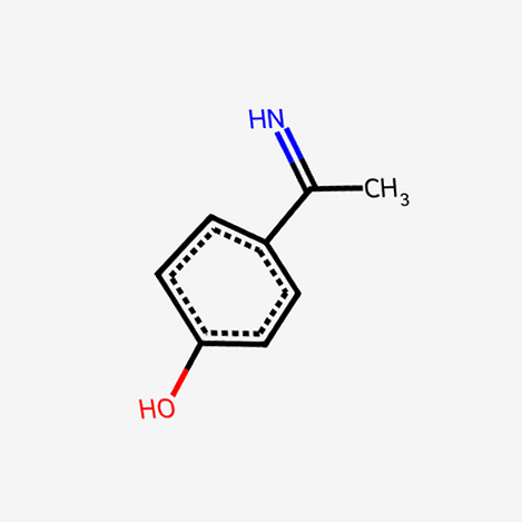 CC(=N)c1ccc(O)cc1